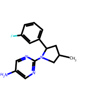 CC1CC(c2cccc(F)c2)N(c2ncc(N)cn2)C1